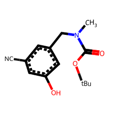 CN(Cc1cc(O)cc(C#N)c1)C(=O)OC(C)(C)C